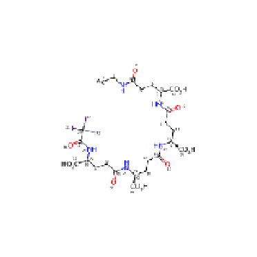 CC(=O)CNC(=O)CC[C@H](NC(=O)CC[C@H](NC(=O)CC[C@H](NC(=O)CC[C@H](NC(=O)C(I)(I)I)C(=O)O)C(=O)O)C(=O)O)C(=O)O